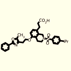 Cc1oc(-c2ccccc2)nc1CCOc1ccc(CCC(=O)O)c2c1CCN(S(=O)(=O)c1ccc(C(C)C)cc1)C2